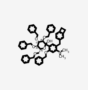 CN(C)c1cc(OCc2ccccc2)c(C2(O)O[C@H](COCc3ccccc3)[C@@H](OCc3ccccc3)[C@H](OCc3ccccc3)[C@H]2OCc2ccccc2)cc1Cc1ccc2c(c1)CC2